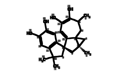 CC1CC23C[C@@]2(C)C[C@]2(CC(C)(C)c4cc(O)c(O)cc42)C3=CC(O)=C1O